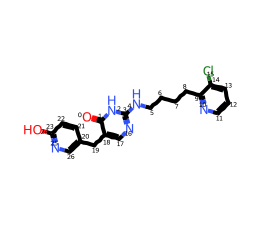 O=c1[nH]c(NCCCCc2ncccc2Cl)ncc1Cc1ccc(O)nc1